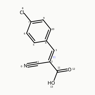 N#C/C(=C\c1ccc(Cl)cc1)C(=O)O